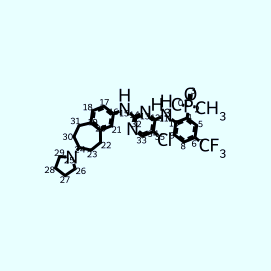 CP(C)(=O)c1cc(C(F)(F)F)ccc1Nc1nc(Nc2ccc3c(c2)CCC(N2CCCC2)CC3)ncc1Cl